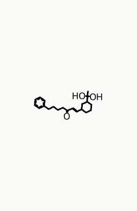 CC(O)(O)C1CCCC(C=CC(=O)CCCCc2ccccc2)C1